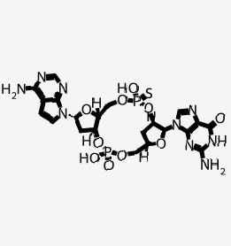 Nc1nc2c(ncn2C2O[C@@H]3COP(=O)(O)O[C@H]4C[C@H](n5ccc6c(N)ncnc65)O[C@@H]4COP(O)(=S)O[C@@H]2C3)c(=O)[nH]1